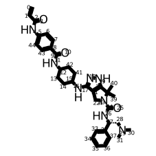 C=CC(=O)Nc1ccc(C(=O)NC2CCC(Nc3n[nH]c4c3CN(C(=O)N[C@H](CN(C)C)c3ccccc3)C4(C)C)CC2)cc1